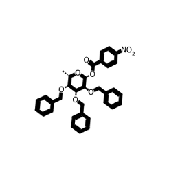 C[C@@H]1O[C@H](OC(=O)c2ccc([N+](=O)[O-])cc2)[C@@H](OCc2ccccc2)[C@H](OCc2ccccc2)[C@@H]1OCc1ccccc1